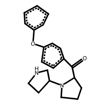 O=C(c1ccc(Oc2ccccc2)cc1)C1CCCN1C1CCNC1